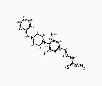 NC(=S)NN=Cc1cc(F)c(N2CCN(Cc3ccccn3)CC2)c(F)c1